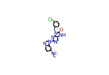 [C-]#[N+]c1ccc2ncn(-c3ncc4[nH]c(=O)n(Cc5cccc(Cl)c5)c4n3)c2c1